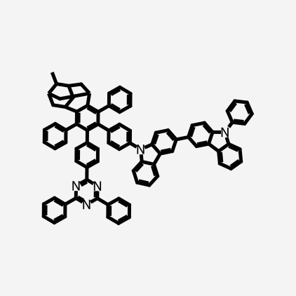 CC1C2CC3CC1CC(C2)c1c(-c2ccccc2)c(-c2ccc(-n4c5ccccc5c5cc(-c6ccc7c(c6)c6ccccc6n7-c6ccccc6)ccc54)cc2)c(-c2ccc(-c4nc(-c5ccccc5)nc(-c5ccccc5)n4)cc2)c(-c2ccccc2)c13